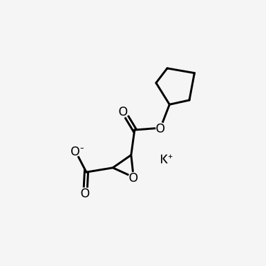 O=C([O-])C1OC1C(=O)OC1CCCC1.[K+]